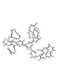 c1ccc([Si](c2ccccc2)(c2ccccc2)c2ccc(-c3cc(-c4cccc(-c5ccc6ccc7cccc8ccc5c6c78)c4)cc(-c4ccc5ccc6cccc7ccc4c5c67)c3)cc2)cc1